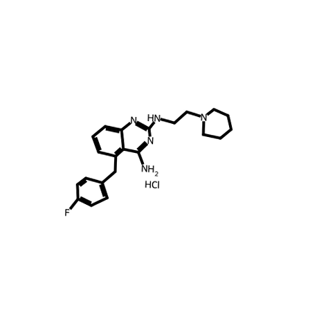 Cl.Nc1nc(NCCN2CCCCC2)nc2cccc(Cc3ccc(F)cc3)c12